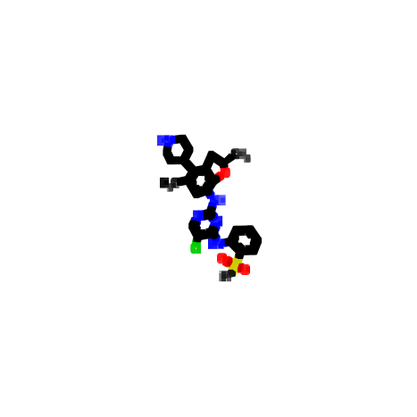 Cc1cc(Nc2ncc(Cl)c(Nc3ccccc3S(=O)(=O)C(C)C)n2)c2c(c1C1CCNCC1)C[C@@H](C)O2